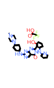 CN1CCN(c2ccc(Nc3ncc4c(=O)n5c(nc4n3)c3c(O)cccc3n5-c3ccccn3)cc2)CC1.O=C(O)C(F)(F)F